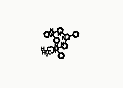 C=Cc1nc(-c2cccc(-c3cc(-c4ccccc4)cc(-c4cccc(-c5nc6ccccn6c5-c5ccccc5)n4)n3)n2)c(-c2ccccc2)n1C=C